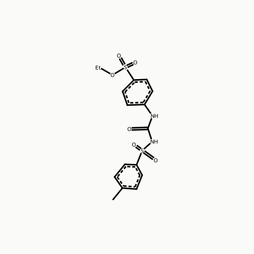 CCOS(=O)(=O)c1ccc(NC(=O)NS(=O)(=O)c2ccc(C)cc2)cc1